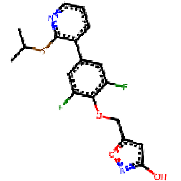 CC(C)Sc1ncccc1-c1cc(F)c(OCc2cc(O)no2)c(F)c1